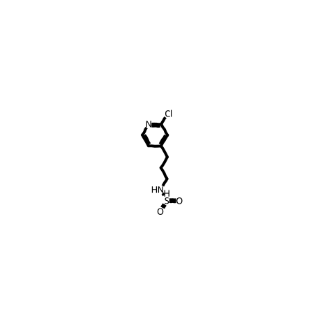 O=[SH](=O)NCCCc1ccnc(Cl)c1